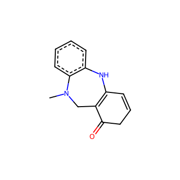 CN1CC2=C(C=CCC2=O)Nc2ccccc21